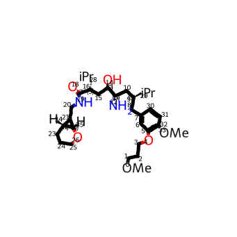 COCCCOc1cc(C[C@@H](C[C@H](N)[C@@H](O)C[C@H](C(=O)NCC2[C@H]3CCCO[C@@H]23)C(C)C)C(C)C)ccc1OC